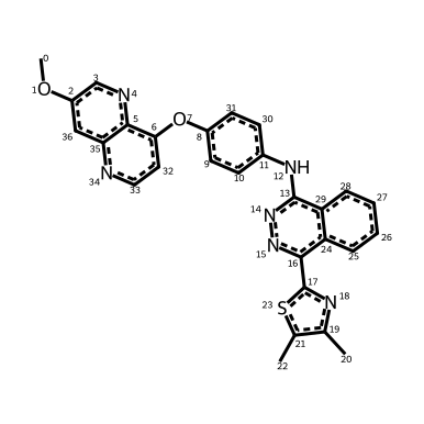 COc1cnc2c(Oc3ccc(Nc4nnc(-c5nc(C)c(C)s5)c5ccccc45)cc3)ccnc2c1